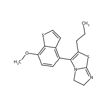 CCCC1=C(c2ccc(OC)c3sccc23)N2CCN=C2S1